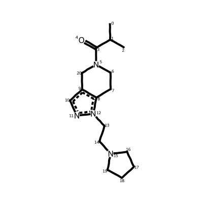 CC(C)C(=O)N1CCc2c(cnn2CCN2CCCC2)C1